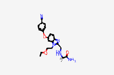 CCOCCn1c(CN[C@@H](C)C(N)=O)nc2ccc(Oc3ccc(C#N)cc3)cc21